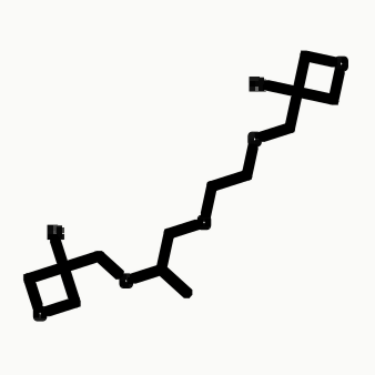 CCC1(COCCOCC(C)OCC2(CC)COC2)COC1